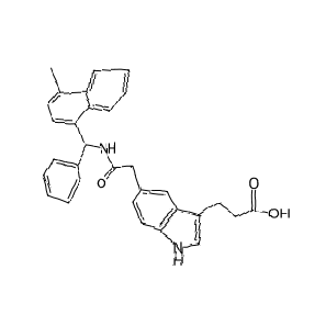 Cc1ccc(C(NC(=O)Cc2ccc3[nH]cc(CCC(=O)O)c3c2)c2ccccc2)c2ccccc12